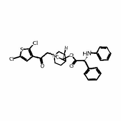 O=C(C[N+]12CCC(CC1)[C@@H](OC(=O)[C@H](Nc1ccccc1)c1ccccc1)C2)c1cc(Cl)sc1Cl